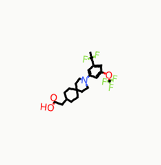 CC(F)(F)c1cc(OC(F)(F)F)cc(N2CCC3(CCC(CC(=O)O)CC3)CC2)c1